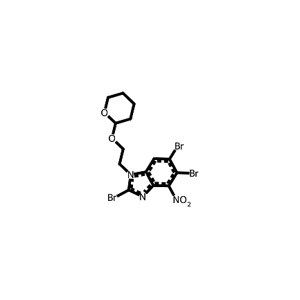 O=[N+]([O-])c1c(Br)c(Br)cc2c1nc(Br)n2CCOC1CCCCO1